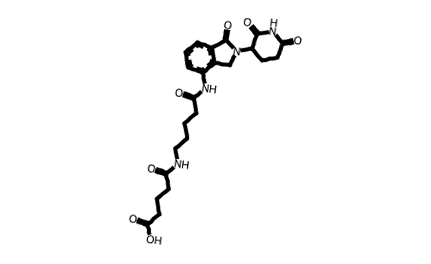 O=C(O)CCCC(=O)NCCCCC(=O)Nc1cccc2c1CN(C1CCC(=O)NC1=O)C2=O